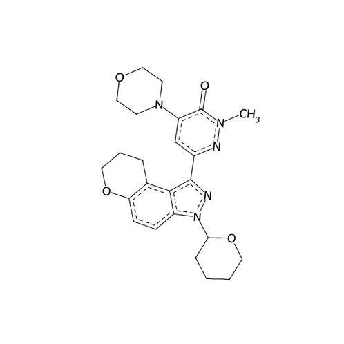 Cn1nc(-c2nn(C3CCCCO3)c3ccc4c(c23)CCCO4)cc(N2CCOCC2)c1=O